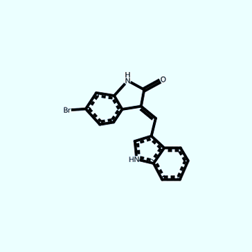 O=C1Nc2cc(Br)ccc2/C1=C\c1c[nH]c2ccccc12